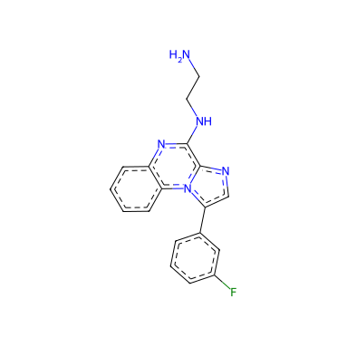 NCCNc1nc2ccccc2n2c(-c3cccc(F)c3)cnc12